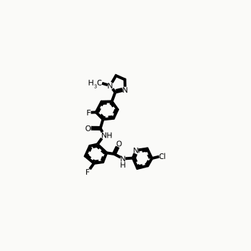 CN1CCN=C1c1ccc(C(=O)Nc2ccc(F)cc2C(=O)Nc2ccc(Cl)cn2)c(F)c1